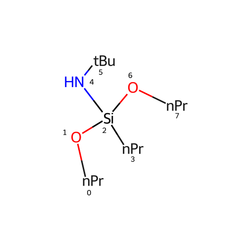 CCCO[Si](CCC)(NC(C)(C)C)OCCC